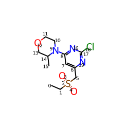 CCS(=O)(=O)Cc1cc(N2CCOCC2C)nc(Cl)n1